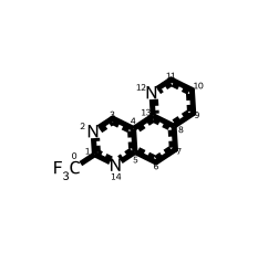 FC(F)(F)c1ncc2c(ccc3cccnc32)n1